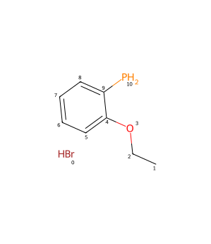 Br.CCOc1ccccc1P